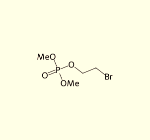 COP(=O)(OC)OCCBr